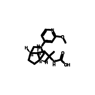 COc1cc(N2C[C@H]3CC[C@@H](C2)[C@H]3CC(C)(C)NC(=O)O)ccn1